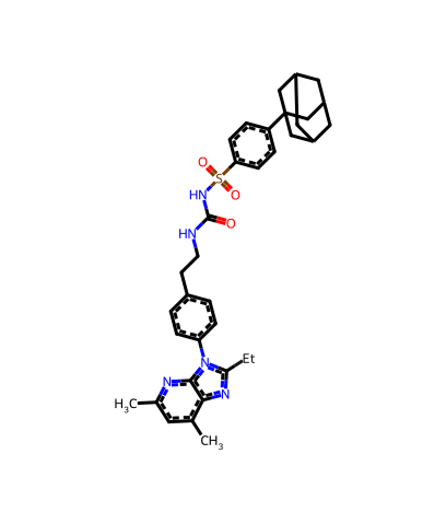 CCc1nc2c(C)cc(C)nc2n1-c1ccc(CCNC(=O)NS(=O)(=O)c2ccc(C34CC5CC(CC(C5)C3)C4)cc2)cc1